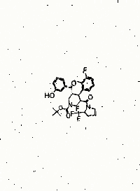 Cc1c(F)cccc1[C@@H]1[C@@H](C(=O)c2cccc(O)c2)CN(C(=O)OC(C)(C)C)C[C@@H]1C(=O)N1CCC[C@H]1C(F)(F)F